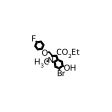 CCOC(=O)c1c(COc2ccc(F)cc2)n(C)c2cc(Br)c(O)cc12